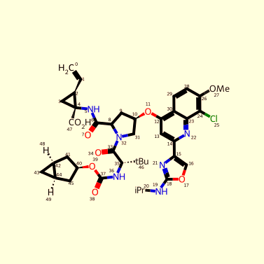 C=C[C@@H]1C[C@]1(NC(=O)C1C[C@@H](Oc2cc(-c3coc(NC(C)C)n3)nc3c(Cl)c(OC)ccc23)CN1C(=O)[C@@H](NC(=O)O[C@@H]1C[C@@H]2C[C@@H]2C1)C(C)(C)C)C(=O)O